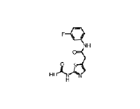 O=C(O)Nc1ncc(CC(=O)Nc2cccc(F)c2)s1